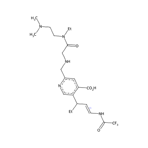 CCC(/C=C/NC(=O)C(F)(F)F)c1cnc(CNCC(=O)N(CC)CCN(C)C)cc1C(=O)O